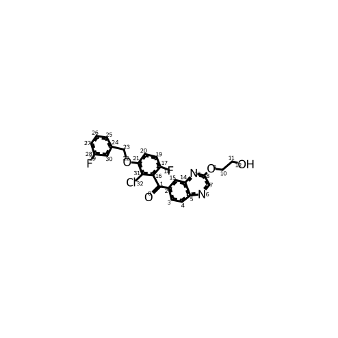 O=C(c1ccc2ncc(OCCO)nc2c1)c1c(F)ccc(OCc2cccc(F)c2)c1Cl